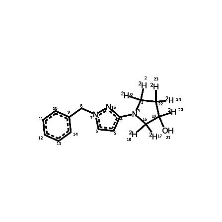 [2H]C1([2H])N(c2ccn(Cc3ccccc3)n2)C([2H])([2H])C([2H])(O)C1([2H])[2H]